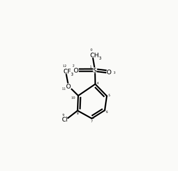 CS(=O)(=O)c1cc[c]c(Cl)c1OC(F)(F)F